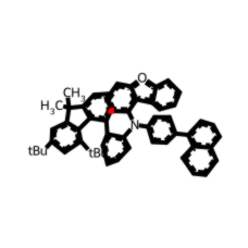 CC(C)(C)c1cc(C(C)(C)C)c2c(c1)C(C)(C)c1cccc(-c3ccccc3N(c3ccc(-c4cccc5ccccc45)cc3)c3cccc4oc5ccccc5c34)c1-2